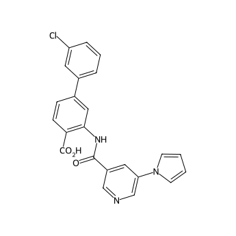 O=C(Nc1cc(-c2cccc(Cl)c2)ccc1C(=O)O)c1cncc(-n2cccc2)c1